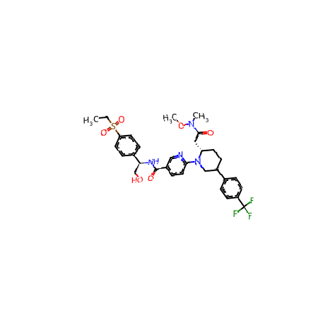 CCS(=O)(=O)c1ccc([C@H](CO)NC(=O)c2ccc(N3CC(c4ccc(C(F)(F)F)cc4)CC[C@H]3CC(=O)N(C)OC)nc2)cc1